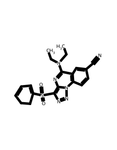 CCN(CC)c1nc2c(S(=O)(=O)C3=CC=CCC3)nnn2c2ccc(C#N)cc12